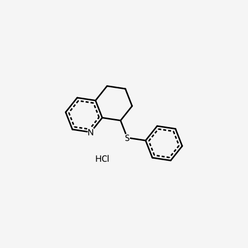 Cl.c1ccc(SC2CCCc3cccnc32)cc1